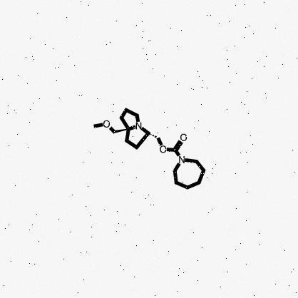 COC[C@@]12CCCN1[C@H](COC(=O)N1CCCCCC1)CC2